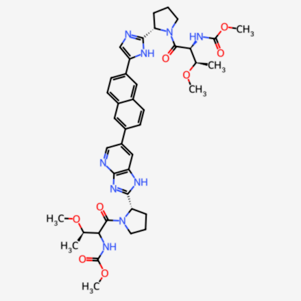 COC(=O)NC(C(=O)N1CCC[C@H]1c1nc2ncc(-c3ccc4cc(-c5cnc([C@@H]6CCCN6C(=O)[C@@H](NC(=O)OC)[C@@H](C)OC)[nH]5)ccc4c3)cc2[nH]1)[C@@H](C)OC